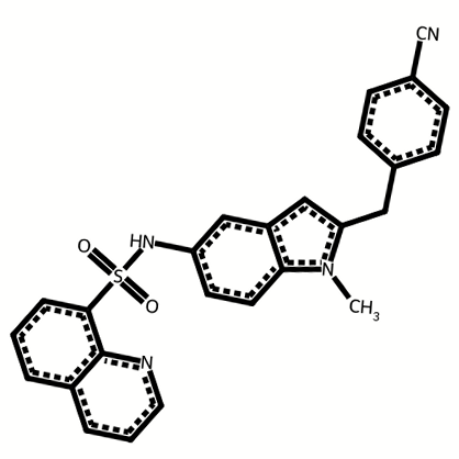 Cn1c(Cc2ccc(C#N)cc2)cc2cc(NS(=O)(=O)c3cccc4cccnc34)ccc21